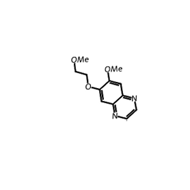 COCCOc1cc2n[c]cnc2cc1OC